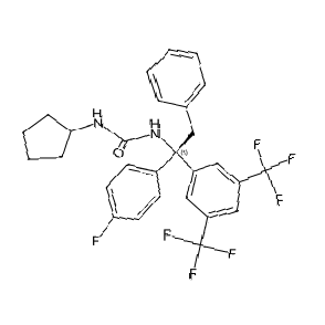 O=C(NC1CCCC1)N[C@@](Cc1ccccc1)(c1ccc(F)cc1)c1cc(C(F)(F)F)cc(C(F)(F)F)c1